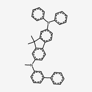 CN(c1cccc(-c2ccccc2)c1)c1ccc2c(c1)C(C)(C)c1cc(N(c3ccccc3)c3ccccc3)ccc1-2